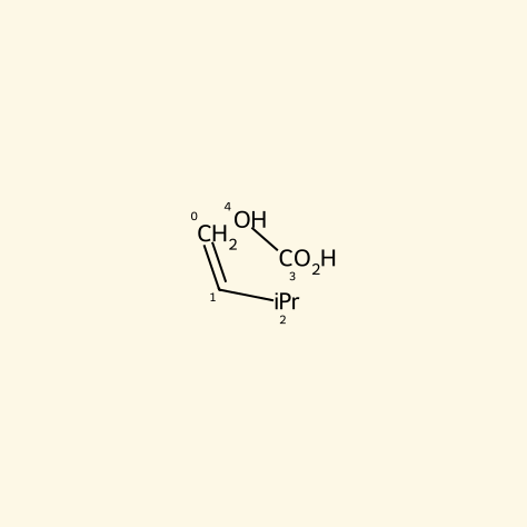 C=CC(C)C.O=C(O)O